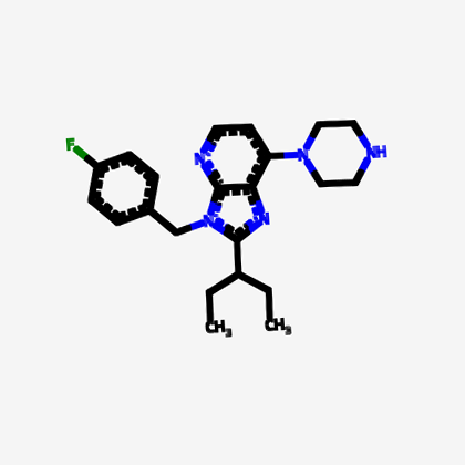 CCC(CC)c1nc2c(N3CCNCC3)ccnc2n1Cc1ccc(F)cc1